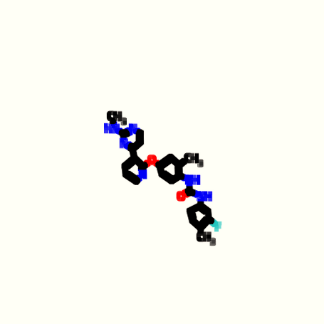 CNc1nccc(-c2cccnc2Oc2ccc(NC(=O)Nc3ccc(C)c(F)c3)c(C)c2)n1